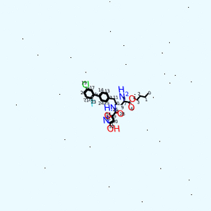 CCCCOC(=O)[C@H](N)C[C@@H](Cc1ccc(-c2cc(Cl)ccc2F)cc1)NC(=O)c1cc(O)no1